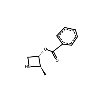 C[C@H]1NC[C@@H]1OC(=O)c1ccccc1